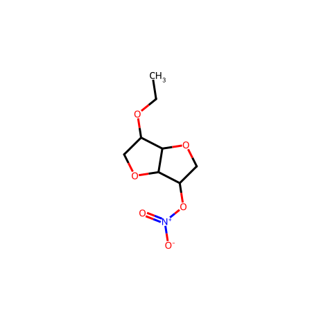 CCOC1COC2C(O[N+](=O)[O-])COC12